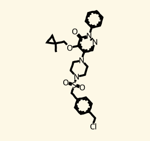 CC1(COc2c(N3CCN(S(=O)(=O)Cc4ccc(CCl)cc4)CC3)cnn(-c3ccccc3)c2=O)CC1